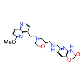 COc1ccc2nccc(CCN3CCOC(CNCc4ccc5c(n4)NC(=O)CO5)C3)c2n1